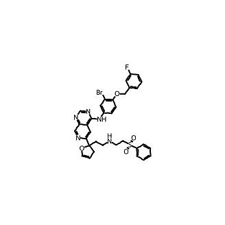 O=S(=O)(CCNCCC1(c2cc3c(Nc4ccc(OCc5cccc(F)c5)c(Br)c4)ncnc3cn2)CC=CO1)c1ccccc1